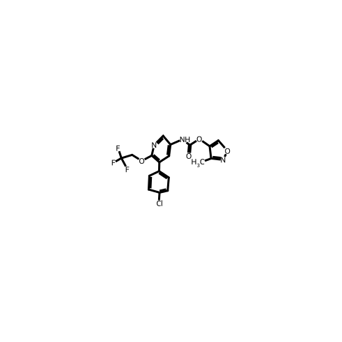 Cc1nocc1OC(=O)Nc1cnc(OCC(F)(F)F)c(-c2ccc(Cl)cc2)c1